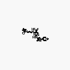 Cc1nn(C2CCN(C)CC2)cc1Nc1ncc(C(F)F)c(NCCCN2CC(C)(C)C2=O)n1